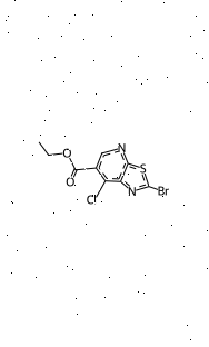 CCOC(=O)c1cnc2sc(Br)nc2c1Cl